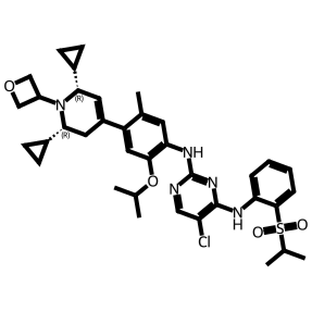 Cc1cc(Nc2ncc(Cl)c(Nc3ccccc3S(=O)(=O)C(C)C)n2)c(OC(C)C)cc1C1=C[C@@H](C2CC2)N(C2COC2)[C@@H](C2CC2)C1